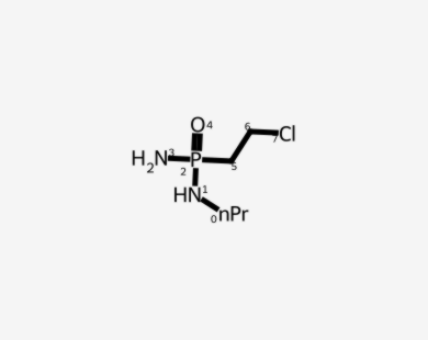 CCCNP(N)(=O)CCCl